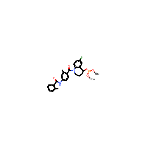 Cc1ccccc1C(=O)Nc1ccc(C(=O)N2CCCC(OP(OC(C)(C)C)OC(C)(C)C)c3cc(Cl)ccc32)c(C)c1